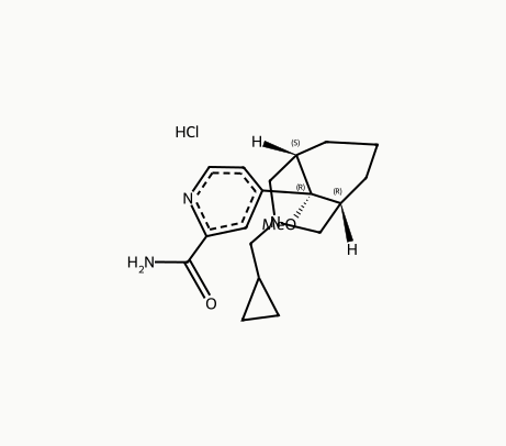 CO[C@@]1(c2ccnc(C(N)=O)c2)[C@@H]2CCC[C@H]1CN(CC1CC1)C2.Cl